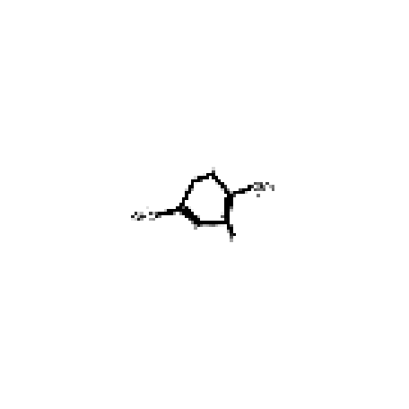 COC1=C(C)C=C(C=O)CC1